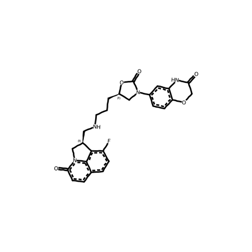 O=C1COc2ccc(N3C[C@@H](CCCNC[C@@H]4Cn5c(=O)ccc6ccc(F)c4c65)OC3=O)cc2N1